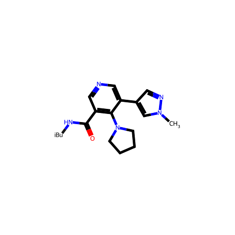 CCC(C)NC(=O)c1cncc(-c2cnn(C)c2)c1N1CCCC1